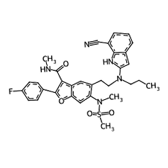 CCCN(CCc1cc2c(C(=O)NC)c(-c3ccc(F)cc3)oc2cc1N(C)S(C)(=O)=O)c1cc2cccc(C#N)c2[nH]1